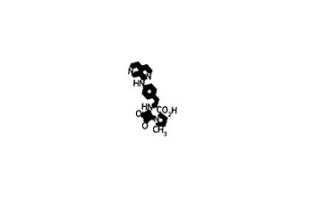 CC1CCCN1c1c(N[C@@H](Cc2ccc(Nc3nccc4ccncc34)cc2)C(=O)O)c(=O)c1=O